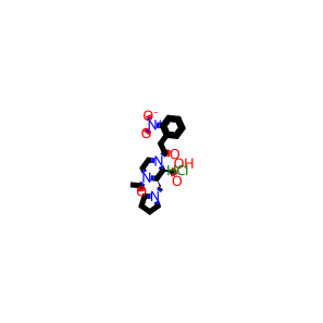 CC(=O)N1CCN(C(=O)Cc2ccccc2[N+](=O)[O-])[C@@H](C(=O)O)[C@@H]1CN1CCCC1.Cl